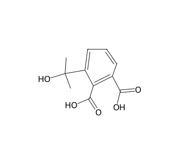 CC(C)(O)c1cccc(C(=O)O)c1C(=O)O